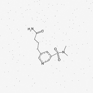 CN(C)S(=O)(=O)c1cncc([CH]CCC(N)=O)c1